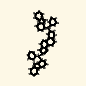 c1ccc(N(c2ccc3c(ccc4c5cc(N(c6ccccc6)c6cccc7c6oc6ccccc67)ccc5ccc34)c2)c2cccc3c2oc2ccccc23)cc1